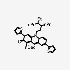 CCCCCCCCCCC1=C2C=C3C=C(c4cccs4)C=CC3N(CCC(CCC)C(CC)CCC)C2=CC(c2cccs2)C1=O